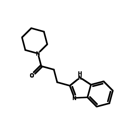 O=C(CCc1nc2ccccc2[nH]1)N1CCCCC1